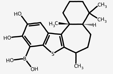 CC1CC[C@@H]2C(C)(C)CCC[C@@]2(C)c2c1sc1c(B(O)O)c(O)c(O)cc21